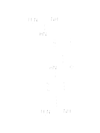 N=C(N)Nc1cccc(C(=O)Nc2ccc(C(=N)N)cc2)c1